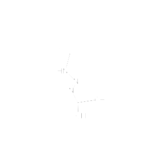 CC(C)N=NNC=O